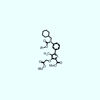 COC(=O)c1sc(-c2cccc(N(CC3CCCCC3)C(=O)OC(C)C)c2)c(C)c1OCC(=O)OC(C)(C)C